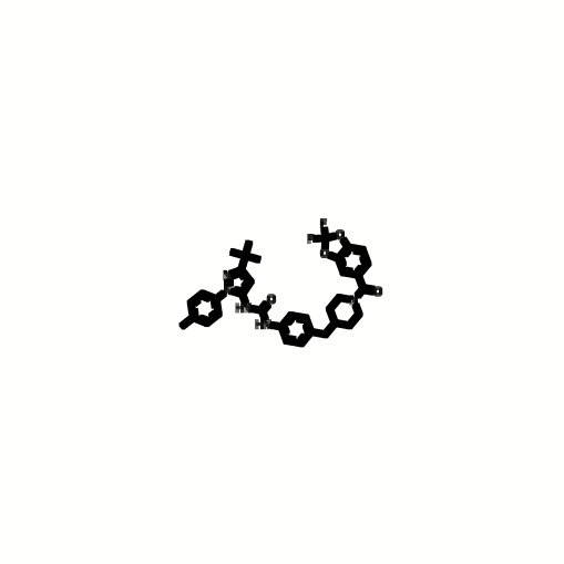 Cc1ccc(-n2nc(C(C)(C)C)cc2NC(=O)Nc2ccc(CC3CCN(C(=O)c4ccc5c(c4)OC(F)(F)O5)CC3)cc2)cc1